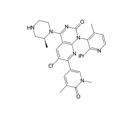 Cc1ccnc(C(C)C)c1-n1c(=O)nc(N2CCNC[C@@H]2C)c2cc(Cl)c(-c3cc(C)c(=O)n(C)c3)nc21